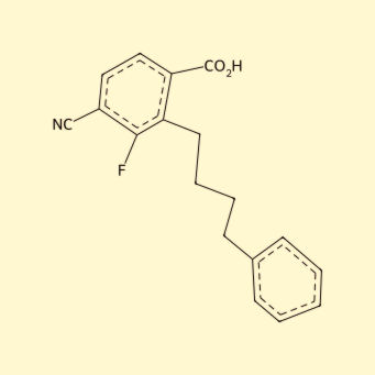 N#Cc1ccc(C(=O)O)c(CCCCc2ccccc2)c1F